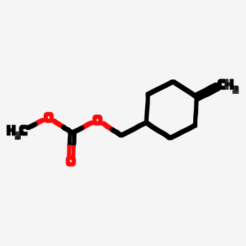 C=C1CCC(COC(=O)OC)CC1